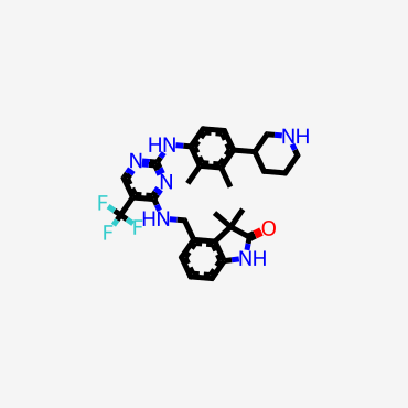 Cc1c(Nc2ncc(C(F)(F)F)c(NCc3cccc4c3C(C)(C)C(=O)N4)n2)ccc(C2CCCNC2)c1C